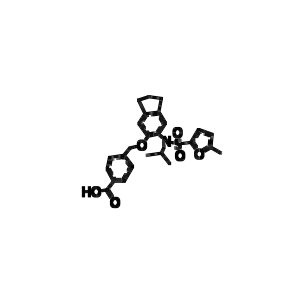 Cc1ccc(S(=O)(=O)N(c2cc3c(cc2OCc2ccc(C(=O)O)cc2)CCC3)C(C)C)o1